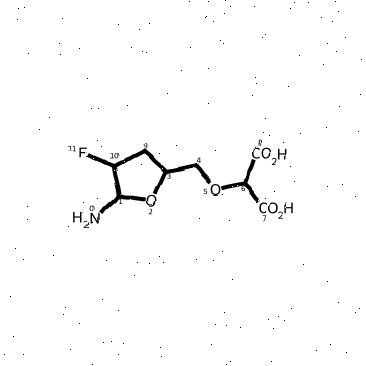 NC1OC(COC(C(=O)O)C(=O)O)CC1F